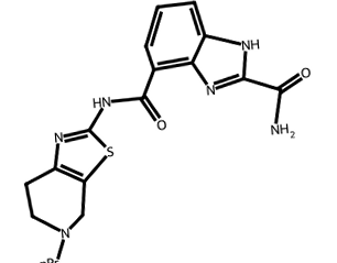 CCCN1CCc2nc(NC(=O)c3cccc4[nH]c(C(N)=O)nc34)sc2C1